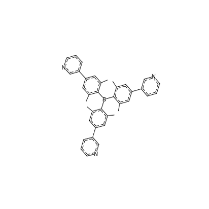 Cc1cc(-c2cccnc2)cc(C)c1B(c1c(C)cc(-c2cccnc2)cc1C)c1c(C)cc(-c2cccnc2)cc1C